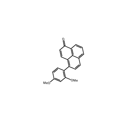 COc1ccc(-c2ccc3cccc4c3c2C=CC4=O)c(OC)c1